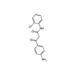 Nc1ccc(C(=O)CC(=O)Nc2ccccc2Cl)cc1